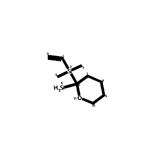 C=C[Si](C)(C)C1([SiH3])CCCCO1